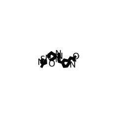 COc1cnc2ccc(Cn3nnc4ccn(-c5cc(C)ns5)c(=O)c43)cc2c1